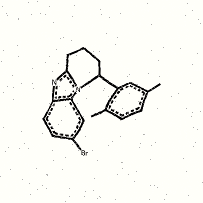 Cc1ccc(C)c(C2CCCc3nc4ccc(Br)cc4n32)c1